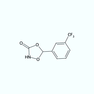 O=C1NOC(c2cccc(C(F)(F)F)c2)O1